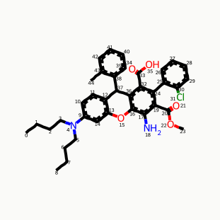 CCCCN(CCCC)c1ccc2c(c1)Oc1c(N)c(C(=O)OC)c(-c3ccccc3Cl)c(C(=O)O)c1C2c1ccccc1C